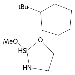 CC(C)(C)C1CCCCC1.CO[SiH]1NCCO1